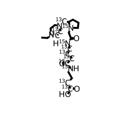 CCN1CCN([13CH2]C2CCC[15N]2CC(=O)[15NH][13CH2][13CH2][13CH2][13C](=O)[15NH]CC[13CH2][13C](=O)O)[13CH2][13CH2]1